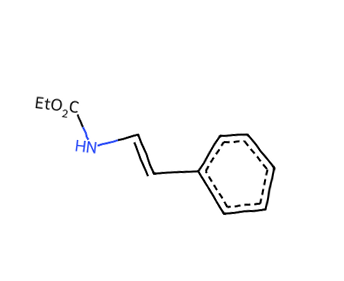 CCOC(=O)NC=Cc1ccccc1